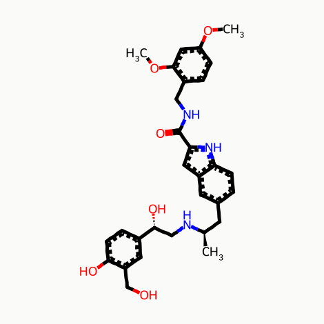 COc1ccc(CNC(=O)c2cc3cc(C[C@@H](C)NC[C@@H](O)c4ccc(O)c(CO)c4)ccc3[nH]2)c(OC)c1